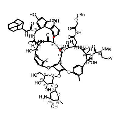 CCCCOCC(=O)NC(=O)C[C@@H]1NC(=O)[C@H](NC(=O)[C@@H](CC(C)C)NC)[C@H](O)c2ccc(c(C)c2)Oc2cc3cc(c2O[C@@H]2O[C@H](CO)[C@@H](O)[C@H](O)[C@H]2O[C@H]2C[C@](C)(N)[C@H](O)[C@H](C)O2)Oc2ccc(cc2Cl)[C@@H](O)[C@@H]2NC(=O)[C@H](NC(=O)[C@@H]3NC1=O)c1ccc(O)c(c1)-c1c(O)cc(O)cc1[C@@H](C(=O)NC1C3CC4CC(C3)CC1C4)NC2=O